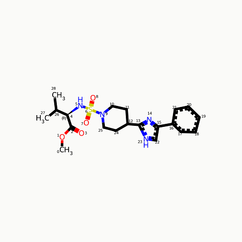 COC(=O)[C@H](NS(=O)(=O)N1CCC(c2nc(-c3ccccc3)c[nH]2)CC1)C(C)C